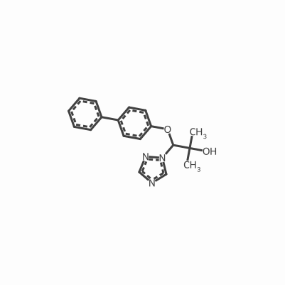 CC(C)(O)C(Oc1ccc(-c2ccccc2)cc1)n1cncn1